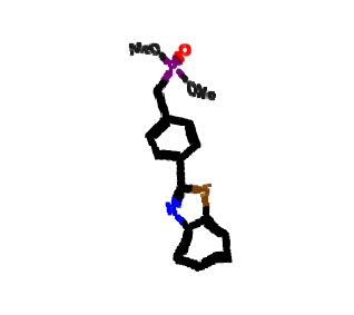 COP(=O)(Cc1ccc(-c2nc3ccccc3s2)cc1)OC